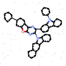 c1ccc(-c2ccc3c(c2)oc2nc(-n4c5ccccc5c5cc6ccccc6cc54)c(-c4ccc5c6ccccc6n(-c6ccccc6)c5c4)nc23)cc1